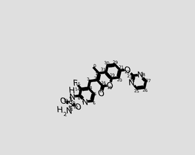 Cc1c(Cc2ccnc(NS(N)(=O)=O)c2F)c(=O)oc2cc(Oc3ncccn3)ccc12